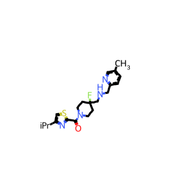 Cc1ccc(CNCC2(F)CCN(C(=O)c3nc(C(C)C)cs3)CC2)nc1